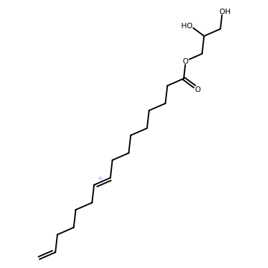 C=CCCCC/C=C/CCCCCCCC(=O)OCC(O)CO